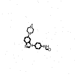 CN1CCN(c2ccc3ncn(-c4ccc(NC=O)cc4)c3c2)CC1